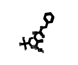 COC(=O)[C@H](C[C@@H](C)C(F)(F)F)NC(=O)OCc1ccccc1